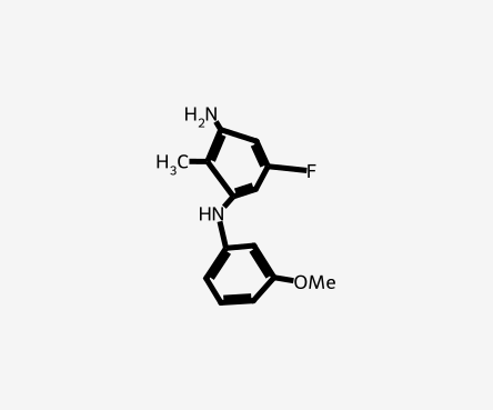 COc1cccc(Nc2cc(F)cc(N)c2C)c1